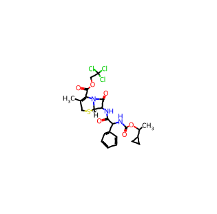 CC1=C(C(=O)OCC(Cl)(Cl)Cl)N2C(=O)C(NC(=O)C(NC(=O)OC(C)C3CC3)c3ccccc3)[C@@H]2SC1